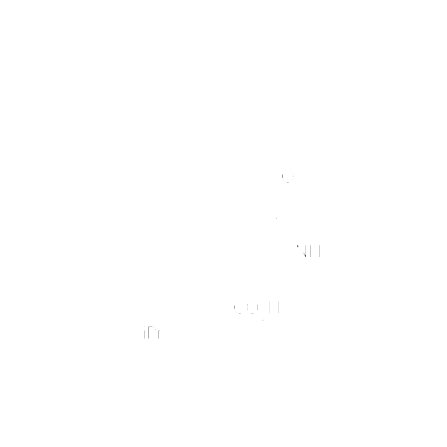 CC(C)CC(C(=O)O)C(C(N)=O)c1ccccc1